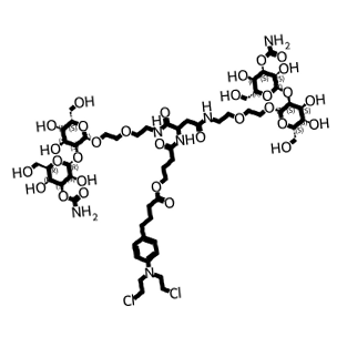 NC(=O)O[C@@H]1[C@H](O)[C@@H](O[C@@H]2[C@@H](OCCOCCNC(=O)CC(NC(=O)CCCOC(=O)CCCc3ccc(N(CCCl)CCCl)cc3)C(=O)NCCOCCO[C@H]3O[C@@H](CO)[C@@H](O)[C@H](O)[C@@H]3O[C@H]3O[C@H](CO)[C@@H](O)[C@H](OC(N)=O)[C@@H]3O)O[C@@H](CO)[C@@H](O)[C@@H]2O)O[C@H](CO)[C@H]1O